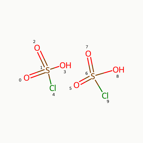 O=S(=O)(O)Cl.O=S(=O)(O)Cl